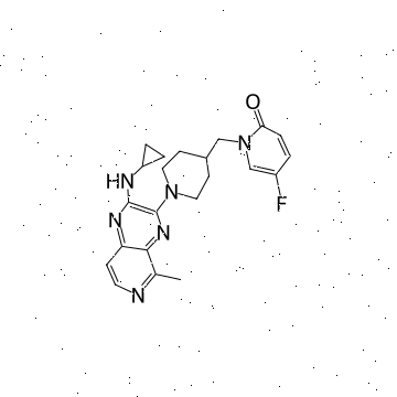 Cc1nccc2nc(NC3CC3)c(N3CCC(Cn4cc(F)ccc4=O)CC3)nc12